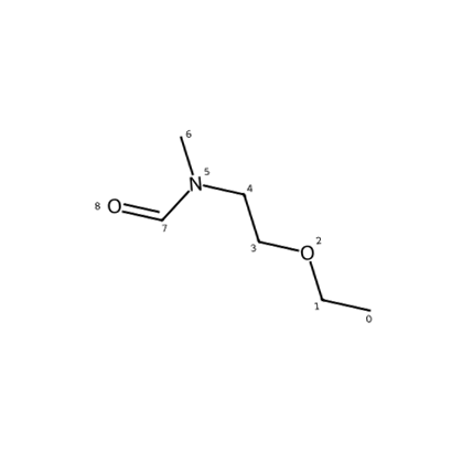 CCOCCN(C)C=O